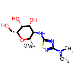 CO[C@@H]1O[C@H](CO)[C@H](O)[C@H](O)[C@H]1Nc1nc(N(C)C)ns1